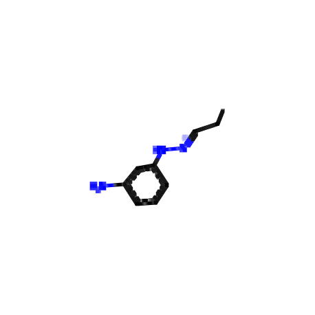 CC/C=N/Nc1cccc(N)c1